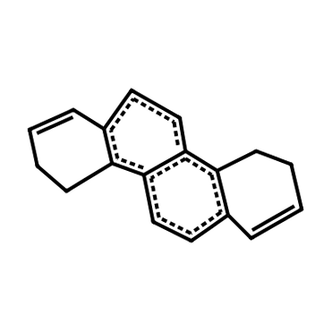 C1=Cc2ccc3c4c(ccc3c2CC1)C=CCC4